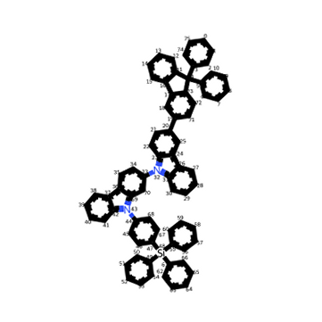 c1ccc(C2(c3ccccc3)c3ccccc3-c3cc(-c4ccc5c(c4)c4ccccc4n5-c4ccc5c6ccccc6n(-c6ccc([Si](c7ccccc7)(c7ccccc7)c7ccccc7)cc6)c5c4)ccc32)cc1